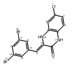 O=C1Nc2ccc(Cl)cc2NC1=Cc1cc(Br)cc(Br)c1